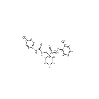 O=C(Nc1ccc(Cl)cc1)OCC1(C(=O)NCc2ccccc2Cl)CCOCC1